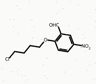 O=Cc1cc([N+](=O)[O-])ccc1OCCCCCl